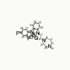 CN1CCCN(CCN2c3ccccc3N(c3ccc(F)cc3F)S2(=O)=O)CC1